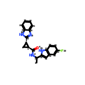 CC(NC(=O)[C@H]1C[C@@H]1c1nc2ccccc2[nH]1)c1cc2cc(F)ccc2[nH]1